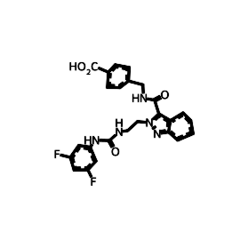 O=C(NCCn1nc2ccccc2c1C(=O)NCc1ccc(C(=O)O)cc1)Nc1cc(F)cc(F)c1